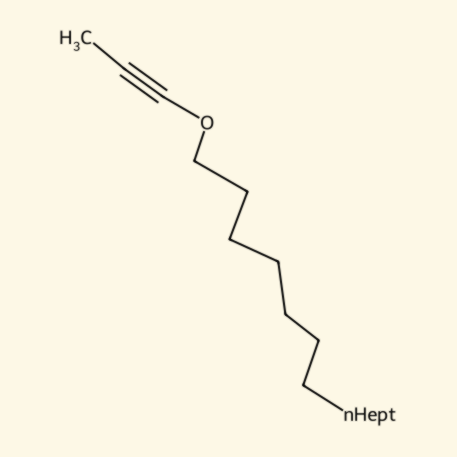 CC#COCCCCCCCCCCCCCC